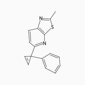 Cc1nc2ccc(C3(c4ccccc4)C=C3)nc2s1